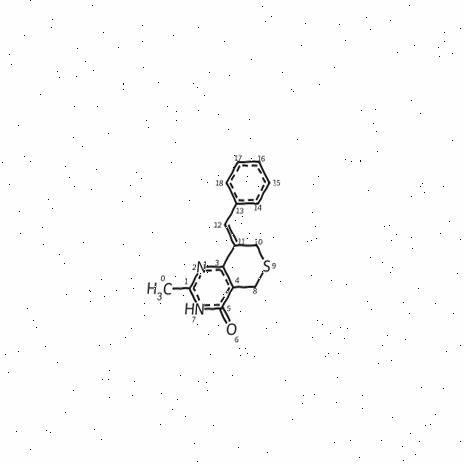 Cc1nc2c(c(=O)[nH]1)CSCC2=Cc1ccccc1